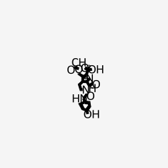 CC(=O)OCC1=C(C(=O)O)N2C(=O)[C@@H]3[C@H]2C1CCN3C(=O)Nc1ccc(O)cc1